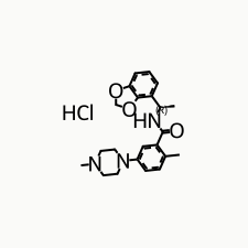 Cc1ccc(N2CCN(C)CC2)cc1C(=O)N[C@H](C)c1cccc2c1OCO2.Cl